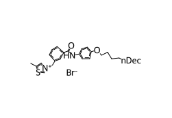 CCCCCCCCCCCCCCOc1ccc(NC(=O)c2cccc(C[n+]3csc(C)c3)c2)cc1.[Br-]